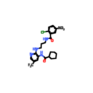 O=C(NCCCNc1ncc(C(F)(F)F)cc1NC(=O)C1CCCCC1)c1cc([N+](=O)[O-])ccc1Cl